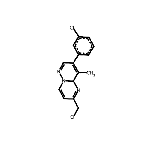 CC1=C(c2cccc(Cl)c2)C=NN2C=CC(CCl)=NC12